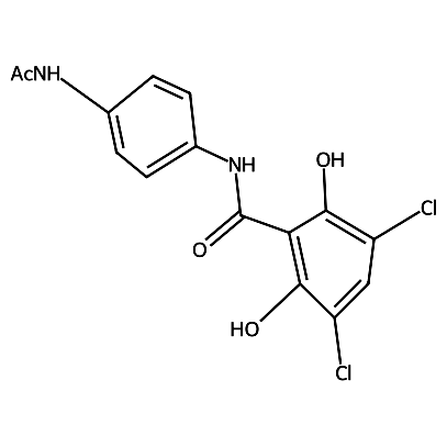 CC(=O)Nc1ccc(NC(=O)c2c(O)c(Cl)cc(Cl)c2O)cc1